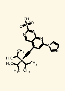 CC(C)[Si](C#Cc1cc(-n2ccnc2)nc2nc(S(C)(=O)=O)ncc12)(C(C)C)C(C)C